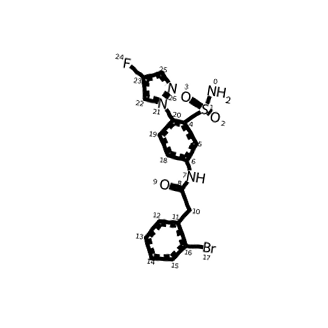 NS(=O)(=O)c1cc(NC(=O)Cc2ccccc2Br)ccc1-n1cc(F)cn1